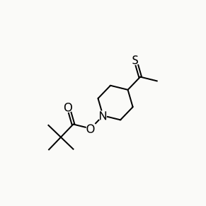 CC(=S)C1CCN(OC(=O)C(C)(C)C)CC1